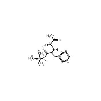 CC(=O)C(=O)NC(Cc1ccccc1)C(=O)O[Si](C)(C)C